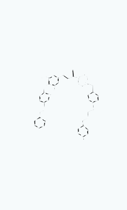 Cc1cc(C=CC(=O)N2CCN(Cc3ccc(CCOCc4ccc(F)cc4)cc3)CC2)cc(Cl)c1Oc1ccc(OCc2ccccc2Cl)cn1.Cl